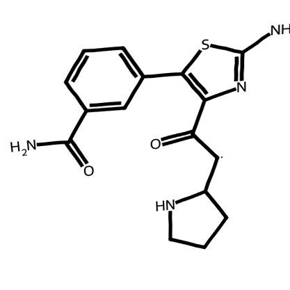 NC(=O)c1cccc(-c2sc(N)nc2C(=O)[CH]C2CCCN2)c1